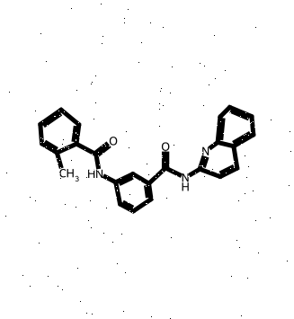 Cc1ccccc1C(=O)Nc1cccc(C(=O)Nc2ccc3ccccc3n2)c1